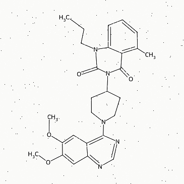 CCCn1c(=O)n(C2CCN(c3ncnc4cc(OC)c(OC)cc34)CC2)c(=O)c2c(C)cccc21